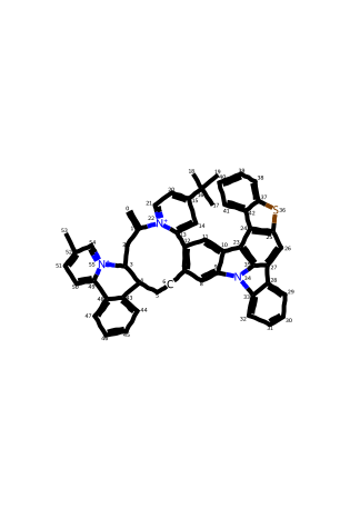 C=C1CC2C(CCc3cc4c(cc3-c3cc(C(C)(C)C)cc[n+]31)c1c3c(cc5c6ccccc6n4c51)sc1ccccc13)c1ccccc1-c1ccc(C)c[n+]12